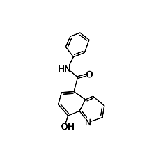 O=C(Nc1ccccc1)c1ccc(O)c2ncccc12